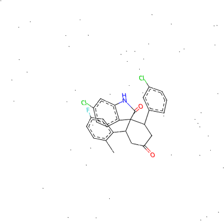 Cc1ccc(F)cc1C1CC(=O)CC(c2cccc(Cl)c2)C12C(=O)Nc1cc(Cl)ccc12